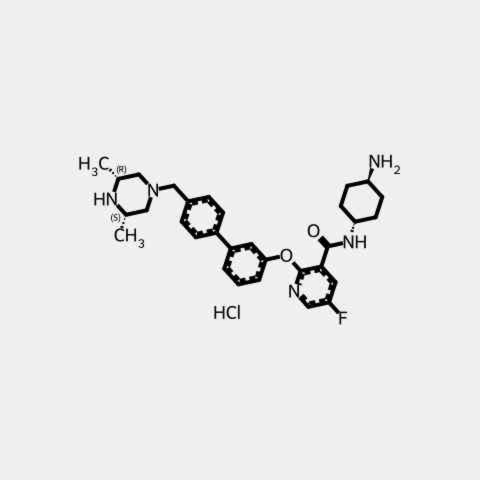 C[C@@H]1CN(Cc2ccc(-c3cccc(Oc4ncc(F)cc4C(=O)N[C@H]4CC[C@H](N)CC4)c3)cc2)C[C@H](C)N1.Cl